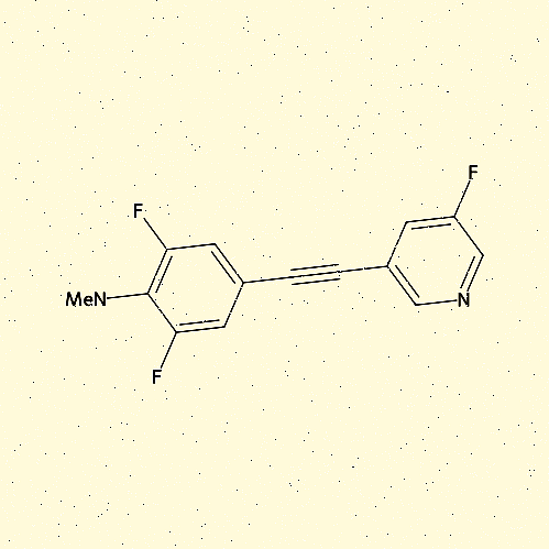 CNc1c(F)cc(C#Cc2cncc(F)c2)cc1F